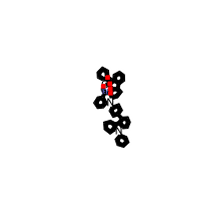 C/C=C(\C=C/c1cc2ccccc2o1)c1ccccc1N(c1ccc(-c2cccc3c2c2ccccc2n3-c2ccccc2)cc1)c1ccc2c(c1)C(C)(C)c1ccccc1-2